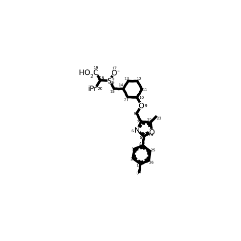 Cc1ccc(-c2nc(COC3CCCC(C[S+]([O-])C(C(=O)O)C(C)C)C3)c(C)o2)cc1